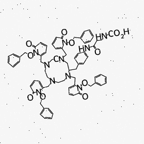 O=C(O)NCCC(=O)Nc1ccc(CC2CN(Cc3cccc(=O)n3OCc3ccccc3)CCN(Cc3cccc(=O)n3OCc3ccccc3)CCN(Cc3cccc(=O)n3OCc3ccccc3)CCN2Cc2cccc(=O)n2OCc2ccccc2)cc1